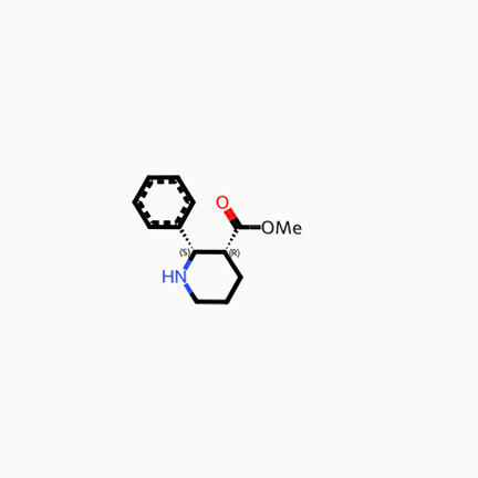 COC(=O)[C@@H]1CCCN[C@@H]1c1ccccc1